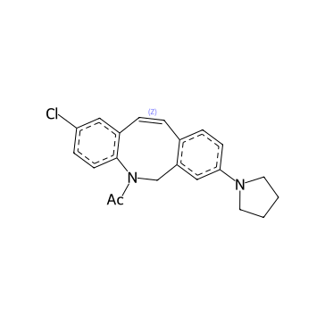 CC(=O)N1Cc2cc(N3CCCC3)ccc2/C=C\c2cc(Cl)ccc21